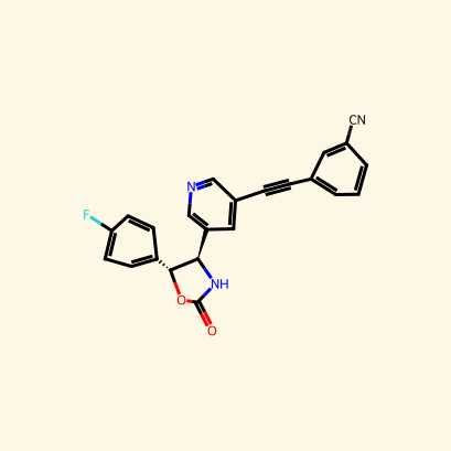 N#Cc1cccc(C#Cc2cncc([C@H]3NC(=O)O[C@@H]3c3ccc(F)cc3)c2)c1